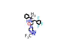 C[C@H](N[C@H](CC(=O)N1CCn2c(nnc2C(F)(F)F)C1)Cc1cc(F)c(F)cc1F)c1ccccc1